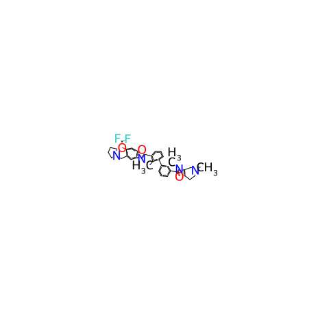 Cc1c(-c2nc3c(o2)CCN(C)C3)cccc1-c1cccc(-c2nc3cc(CN4CCCC4)c(OC(F)F)cc3o2)c1C